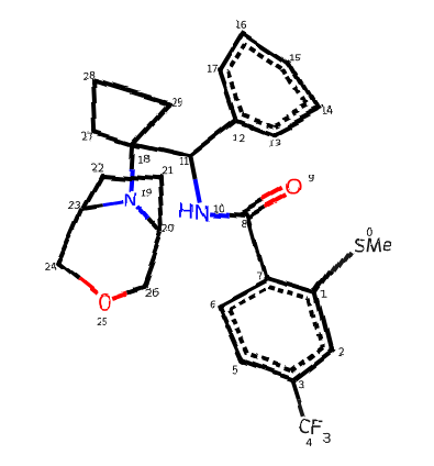 CSc1cc(C(F)(F)F)ccc1C(=O)NC(c1ccccc1)C1(N2C3CCC2COC3)CCC1